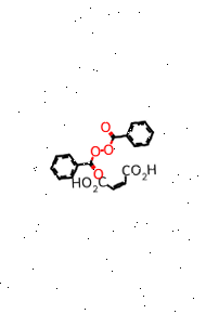 O=C(O)/C=C\C(=O)O.O=C(OOC(=O)c1ccccc1)c1ccccc1